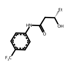 CC[C@H](O)CC(=O)Nc1ccc(C(F)(F)F)cc1